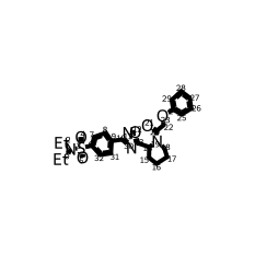 CCN(CC)S(=O)(=O)c1ccc(-c2noc(C3CCCCN3C(=O)COc3ccccc3)n2)cc1